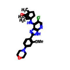 COc1cc(N2CCOCC2)ccc1-c1nc2c(NC34CCC(C)(C(=O)C3)C4(C)C)c(Cl)cnc2[nH]1